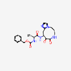 CC(C)C(NC(=O)OCc1ccccc1)C(=O)NC1Cc2nccn2CCCNC(=O)C1=O